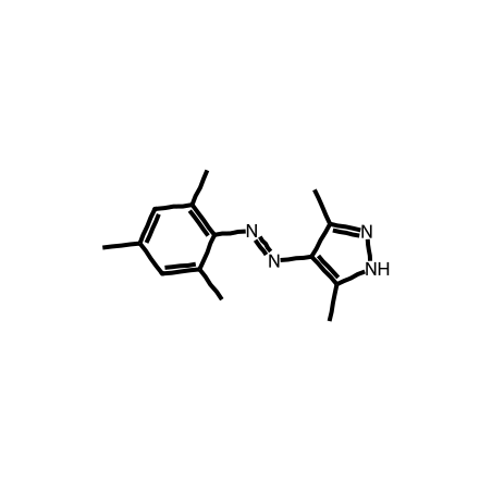 Cc1cc(C)c(N=Nc2c(C)n[nH]c2C)c(C)c1